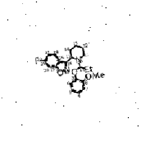 CCC(Oc1cc[c]cc1OC)N1CCCCC1c1noc2cc(F)ccc12